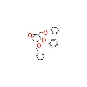 c1ccc(COCC2C(OCc3ccccc3)C(OCc3ccccc3)CC3OC32)cc1